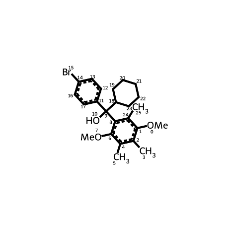 COc1c(C)c(C)c(OC)c(C(O)(c2ccc(Br)cc2)C2CCCCC2)c1C